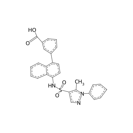 Cc1c(S(=O)(=O)Nc2ccc(-c3cccc(C(=O)O)c3)c3ccccc23)cnn1-c1ccccc1